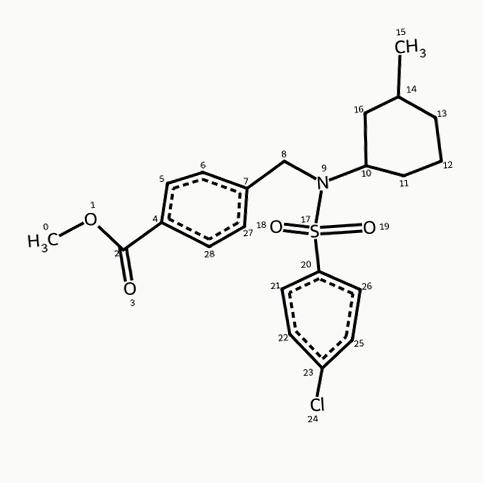 COC(=O)c1ccc(CN(C2CCCC(C)C2)S(=O)(=O)c2ccc(Cl)cc2)cc1